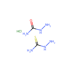 Cl.NNC(N)=O.NNC(N)=S